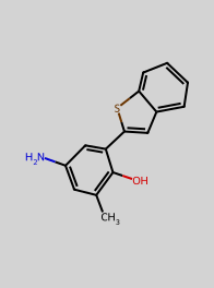 Cc1cc(N)cc(-c2cc3ccccc3s2)c1O